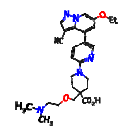 CCOc1cc(-c2ccc(N3CCC(COCCN(C)C)(C(=O)O)CC3)nc2)c2c(C#N)cnn2c1